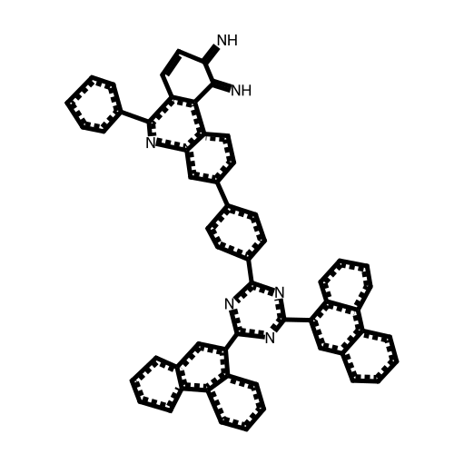 N=C1C=Cc2c(-c3ccccc3)nc3cc(-c4ccc(-c5nc(-c6cc7ccccc7c7ccccc67)nc(-c6cc7ccccc7c7ccccc67)n5)cc4)ccc3c2C1=N